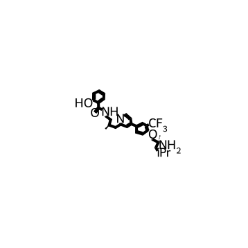 CC(C)C[C@](C)(N)COc1ccc(-c2ccnc(C[C@@H](C)CCNC(=O)c3ccccc3O)c2)cc1C(F)(F)F